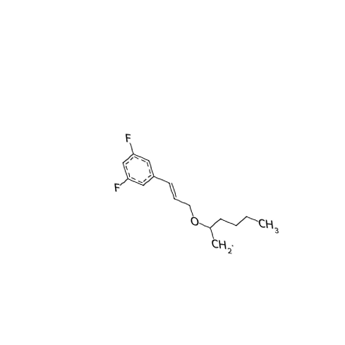 [CH2]C(CCCC)OCC=Cc1cc(F)cc(F)c1